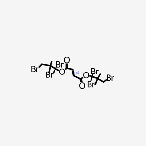 CC(C)(CBr)C(Br)(Br)OC(=O)/C=C/C(=O)OC(Br)(Br)C(C)(C)CBr